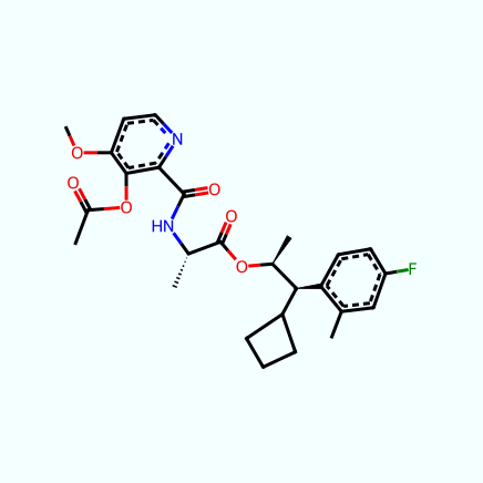 COc1ccnc(C(=O)N[C@@H](C)C(=O)O[C@@H](C)[C@@H](c2ccc(F)cc2C)C2CCC2)c1OC(C)=O